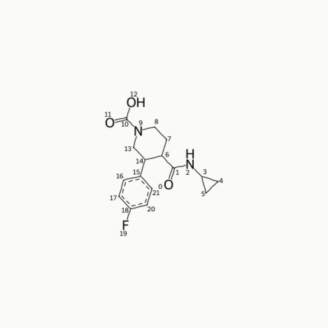 O=C(NC1CC1)C1CCN(C(=O)O)CC1c1ccc(F)cc1